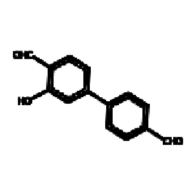 O=Cc1ccc(-c2ccc(C=O)c(O)c2)cc1